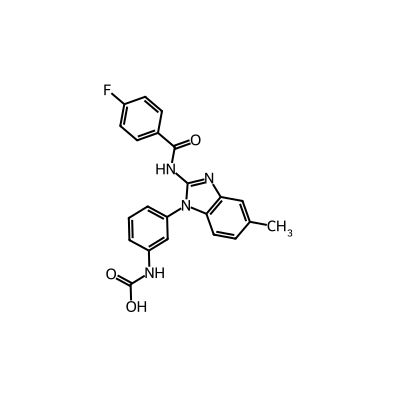 Cc1ccc2c(c1)nc(NC(=O)c1ccc(F)cc1)n2-c1cccc(NC(=O)O)c1